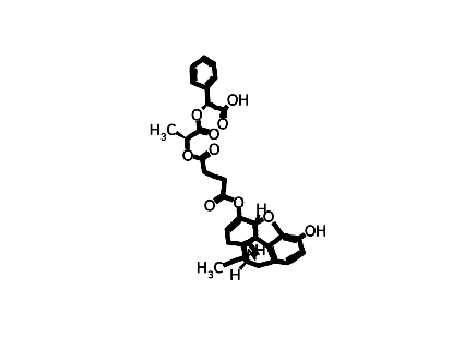 C[C@H](OC(=O)CCC(=O)OC1=CC[C@@]2(O)[C@H]3Cc4ccc(O)c5c4[C@@]2(CCN3C)[C@H]1O5)C(=O)O[C@H](C(=O)O)c1ccccc1